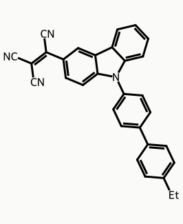 CCc1ccc(-c2ccc(-n3c4ccccc4c4cc(C(C#N)=C(C#N)C#N)ccc43)cc2)cc1